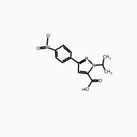 CC(C)n1nc(-c2ccc([N+](=O)[O-])cc2)cc1C(=O)O